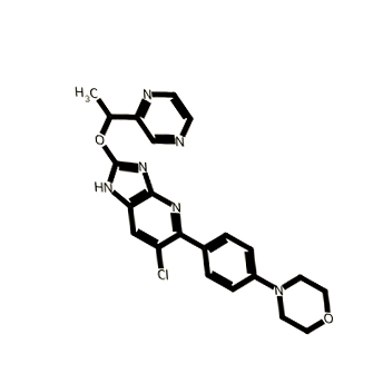 CC(Oc1nc2nc(-c3ccc(N4CCOCC4)cc3)c(Cl)cc2[nH]1)c1cnccn1